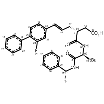 C[C@@H](NC(=O)[C@@H](NC(=O)[C@H](CC=Cc1ccc(-c2ccccc2)c(F)c1)CC(=O)O)C(C)(C)C)c1ccccc1